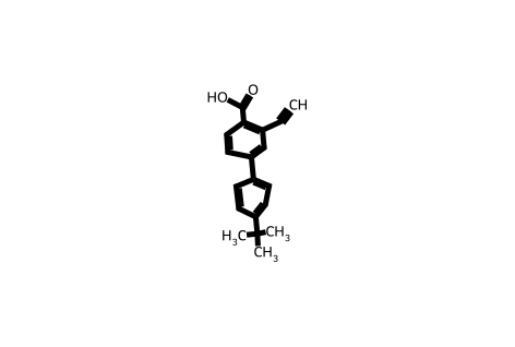 C#Cc1cc(-c2ccc(C(C)(C)C)cc2)ccc1C(=O)O